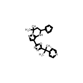 CC(C)(c1ccncc1)c1nnc(-c2cnn3c2NC(c2ccccc2)CC3(C)C)o1